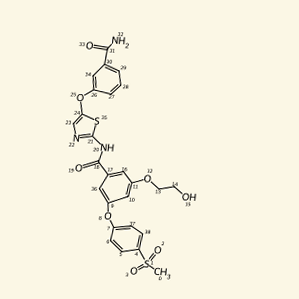 CS(=O)(=O)c1ccc(Oc2cc(OCCO)cc(C(=O)Nc3ncc(Oc4cccc(C(N)=O)c4)s3)c2)cc1